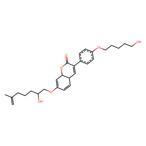 C=C(C)CCCC(O)COC1=CC2OC(=O)C(c3ccc(OCCCCCO)cc3)=CC2C=C1